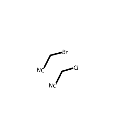 N#CCBr.N#CCCl